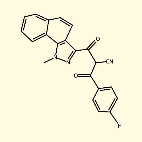 Cn1nc(C(=O)C(C#N)C(=O)c2ccc(F)cc2)c2ccc3ccccc3c21